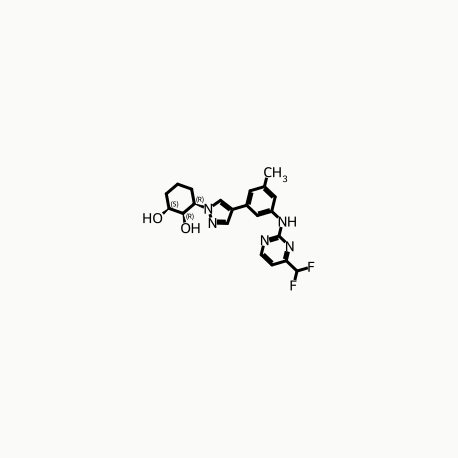 Cc1cc(Nc2nccc(C(F)F)n2)cc(-c2cnn([C@@H]3CCC[C@H](O)[C@@H]3O)c2)c1